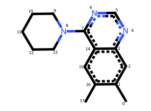 Cc1cc2ncnc(N3CCCCC3)c2cc1C